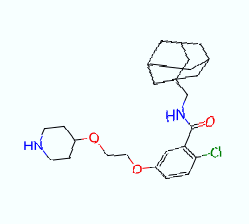 O=C(NCC12CC3CC(CC(C3)C1)C2)c1cc(OCCOC2CCNCC2)ccc1Cl